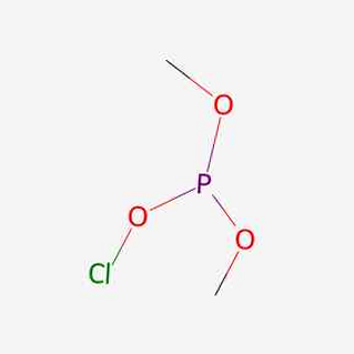 COP(OC)OCl